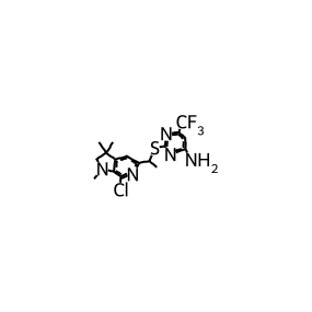 CC(Sc1nc(N)cc(C(F)(F)F)n1)c1cc2c(c(Cl)n1)N(C)CC2(C)C